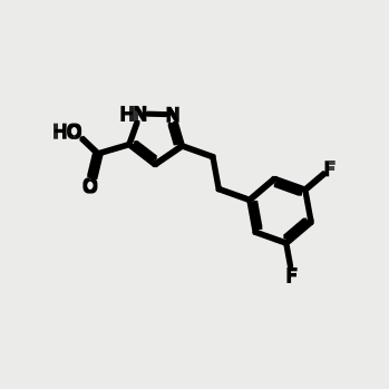 O=C(O)c1cc(CCc2cc(F)cc(F)c2)n[nH]1